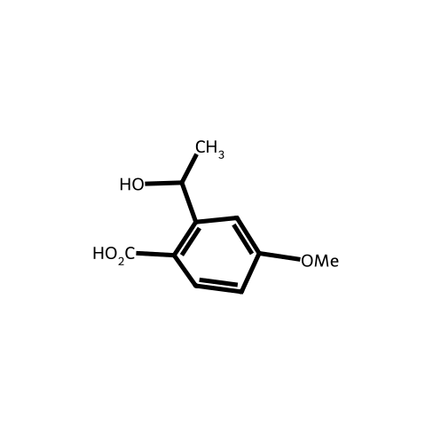 COc1ccc(C(=O)O)c(C(C)O)c1